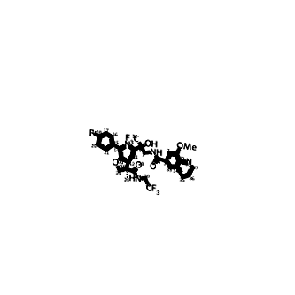 COc1cc(C(=O)NCC(O)(c2cc3c(c(-c4ccc(F)cc4)n2)OC[C@]3(C)C(=O)NCC(F)(F)F)C(F)(F)F)cc2cccnc12